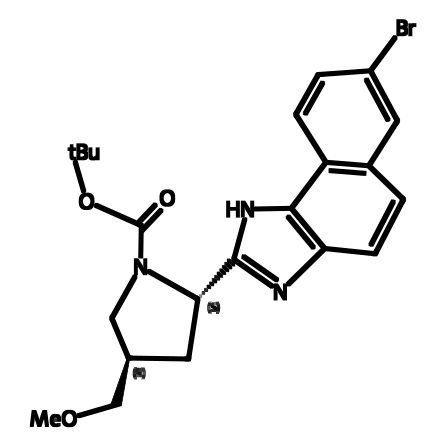 COC[C@@H]1C[C@@H](c2nc3ccc4cc(Br)ccc4c3[nH]2)N(C(=O)OC(C)(C)C)C1